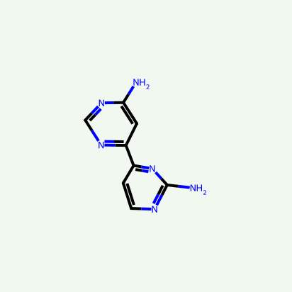 Nc1cc(-c2ccnc(N)n2)ncn1